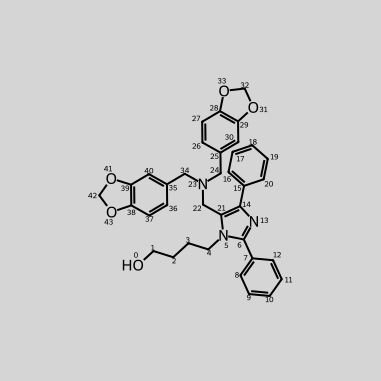 OCCCCn1c(-c2ccccc2)nc(-c2ccccc2)c1CN(Cc1ccc2c(c1)OCO2)Cc1ccc2c(c1)OCO2